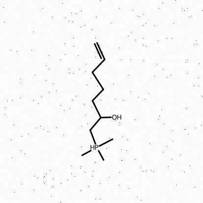 C=CCCCC(O)C[PH](C)(C)C